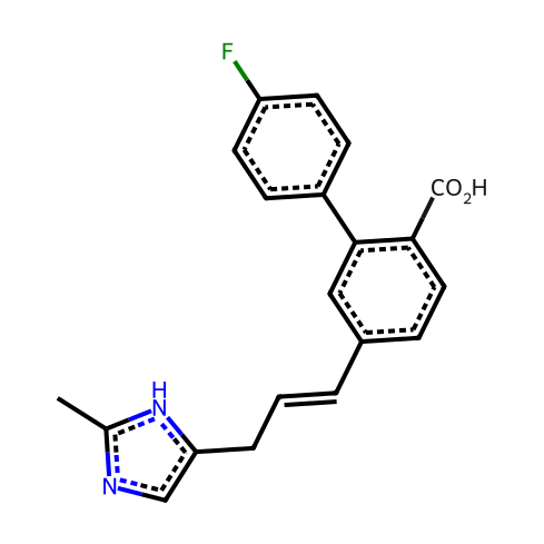 Cc1ncc(CC=Cc2ccc(C(=O)O)c(-c3ccc(F)cc3)c2)[nH]1